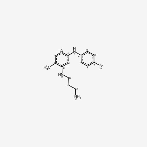 Cc1cnc(Nc2ccc(Br)cc2)nc1NCCCN